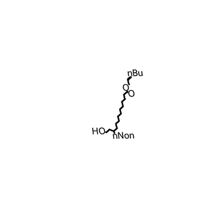 CCCCC=CCOC(=O)CCCCCCCCCCC(CCO)CCCCCCCCC